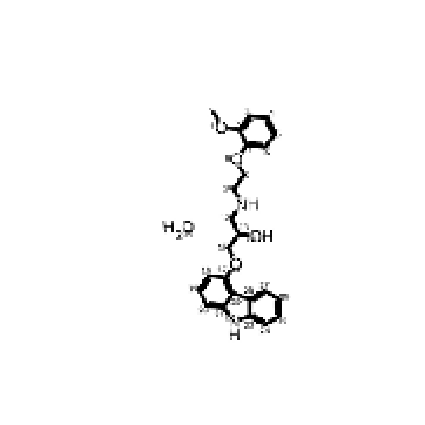 COc1ccccc1OCCNCC(O)COc1cccc2[nH]c3ccccc3c12.O